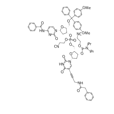 [C-]#[N+]CCOP(O[C@@H]1C[C@H](n2cc(C#CCNC(=O)Cc3ccccc3)c(=O)[nH]c2=O)O[C@@H]1COP(=O)(OCC[N+]#[C-])O[C@@H]1C[C@H](n2ccc(NC(=O)c3ccccc3)nc2=O)O[C@@H]1COC(c1ccccc1)(c1ccc(OC)cc1)c1ccc(OC)cc1)N(C(C)C)C(C)C